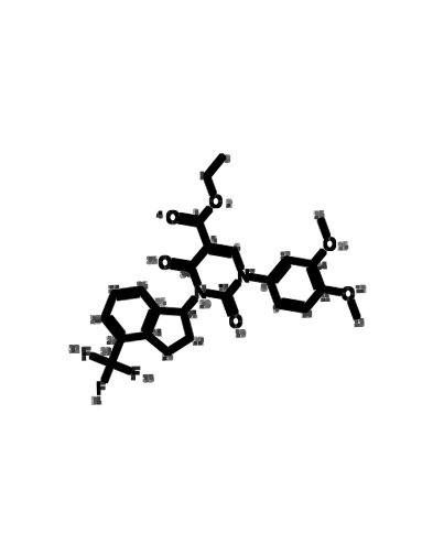 CCOC(=O)c1cn(-c2ccc(OC)c(OC)c2)c(=O)n(C2CCc3c2cccc3C(F)(F)F)c1=O